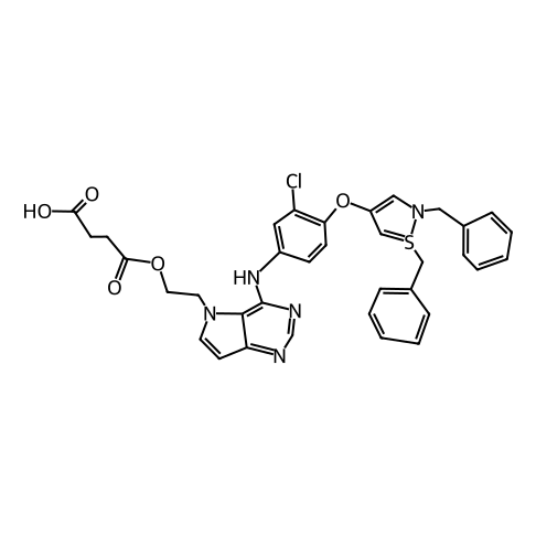 O=C(O)CCC(=O)OCCn1ccc2ncnc(Nc3ccc(OC4=CN(Cc5ccccc5)S(Cc5ccccc5)=C4)c(Cl)c3)c21